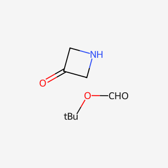 CC(C)(C)OC=O.O=C1CNC1